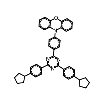 c1ccc2c(c1)Oc1ccccc1N2c1ccc(-c2nc(-c3ccc(C4CCCC4)cc3)nc(-c3ccc(C4CCCC4)cc3)n2)cc1